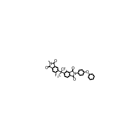 CN1C(=O)c2ccc(C(c3ccc4c(c3)C(=O)N(c3ccc(Oc5ccccc5)cc3)C4=O)(C(F)(F)F)C(F)(F)F)cc2C1=O